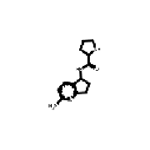 Nc1ccc2c(n1)CCC2NC(=O)C1CCCN1